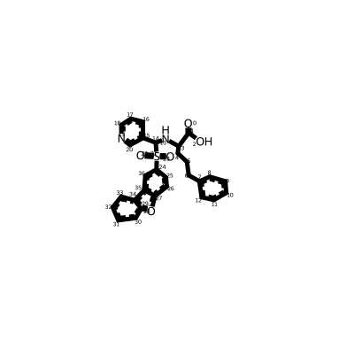 O=C(O)C(CCCc1ccccc1)NC(c1cccnc1)S(=O)(=O)c1ccc2oc3ccccc3c2c1